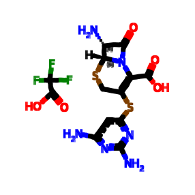 Nc1cc(SC2=C(C(=O)O)N3C(=O)[C@@H](N)[C@H]3SC2)nc(N)n1.O=C(O)C(F)(F)F